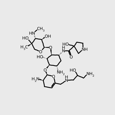 CN[C@@H]1[C@@H](O)[C@@H](O[C@@H]2[C@@H](O)[C@H](O[C@H]3OC(CNCC(O)CN)=CC[C@H]3N)[C@@H](N)C[C@H]2NC(=O)C2(O)CCNC2)OC[C@]1(C)O